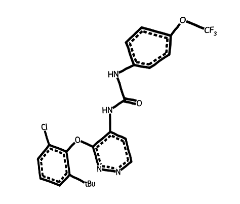 CC(C)(C)c1cccc(Cl)c1Oc1nnccc1NC(=O)Nc1ccc(OC(F)(F)F)cc1